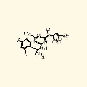 Cc1nc(Nc2cc(C(C)C)[nH]n2)nc(NC(C)c2ccc(F)cc2F)n1